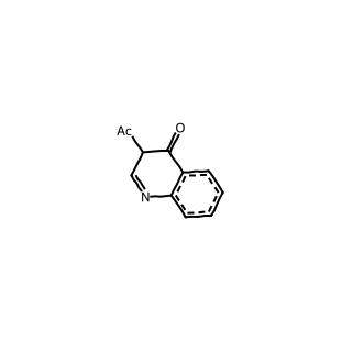 CC(=O)C1C=Nc2ccccc2C1=O